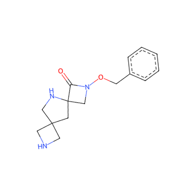 O=C1N(OCc2ccccc2)CC12CC1(CNC1)CN2